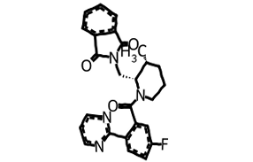 C[C@@H]1CCCN(C(=O)c2cc(F)ccc2-c2ncccn2)[C@@H]1CN1C(=O)c2ccccc2C1=O